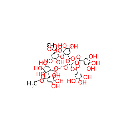 CCOC(=O)c1cc(O)c(O)c(O)c1-c1c(C(=O)OCCO[C@@H](OC(=O)c2cc(O)c(O)c(O)c2Oc2cc(C(=O)OC)cc(O)c2O)[C@@H](COC(=O)c2cc(O)c(O)c(O)c2)OC(=O)c2cc(O)c(O)c(O)c2)cc(O)c(O)c1O